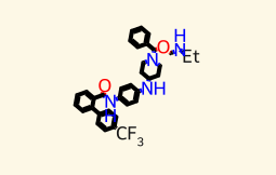 CCNCOC(c1ccccc1)N1CCC(Nc2ccc(NC(=O)c3ccccc3-c3ccc(C(F)(F)F)cc3)cc2)CC1